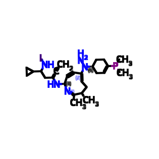 C=C=C(CC(NI)C1CC1)N[C@H]1C#C/C(N(N)[C@@H]2CC=C(P(C)C)CC2)=C/CC(C)/C(C)=N\1